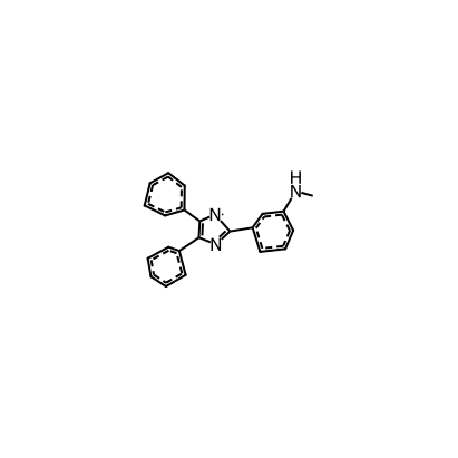 CNc1cccc(C2=NC(c3ccccc3)=C(c3ccccc3)[N]2)c1